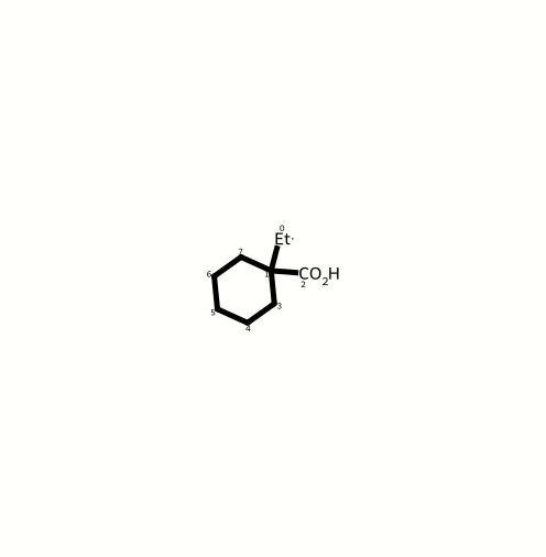 C[CH]C1(C(=O)O)CCCCC1